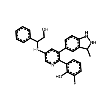 CC1NNc2ccc(-c3cc(NC(CO)c4ccccc4)cnc3-c3cccc(F)c3O)cc21